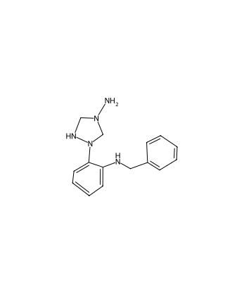 NN1CNN(c2ccccc2NCc2ccccc2)C1